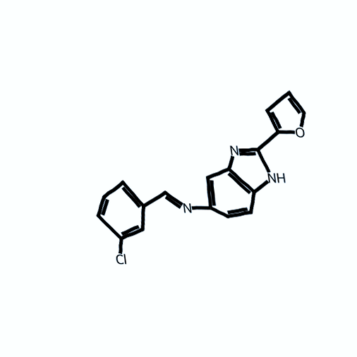 Clc1cccc(C=Nc2ccc3[nH]c(-c4ccco4)nc3c2)c1